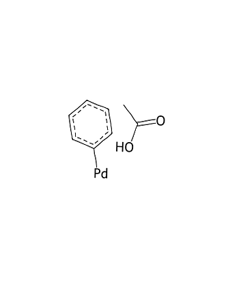 CC(=O)O.[Pd][c]1ccccc1